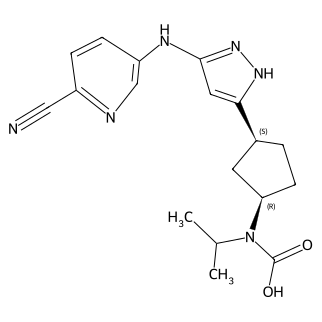 CC(C)N(C(=O)O)[C@@H]1CC[C@H](c2cc(Nc3ccc(C#N)nc3)n[nH]2)C1